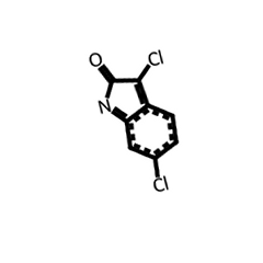 O=C1N=c2cc(Cl)ccc2=C1Cl